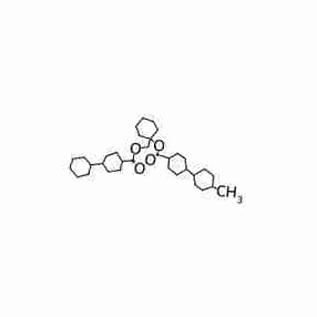 CC1CCC(C2CCC(C(=O)OC3(COC(=O)C4CCC(C5CCCCC5)CC4)CCCCC3)CC2)CC1